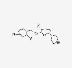 Fc1cc(Cl)ccc1COc1nc(C2CCNCC2)ccc1F